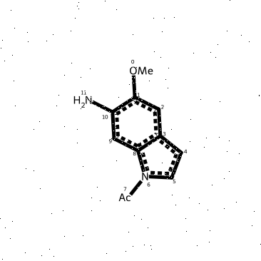 COc1cc2ccn(C(C)=O)c2cc1N